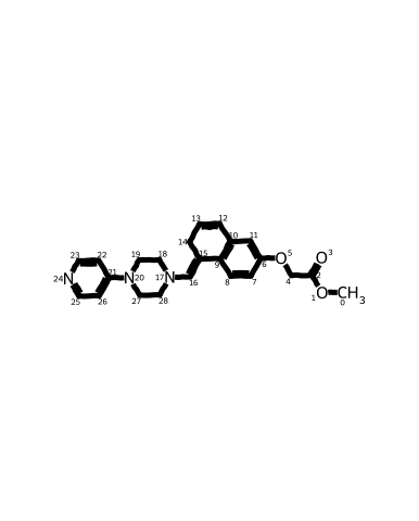 COC(=O)COc1ccc2c(c1)C=CCC2=CN1CCN(c2ccncc2)CC1